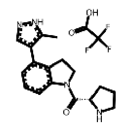 Cc1[nH]ncc1-c1cccc2c1CCN2C(=O)[C@@H]1CCCN1.O=C(O)C(F)(F)F